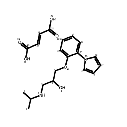 CC(C)NCC(O)COc1ccccc1-n1cccc1.O=C(O)C=CC(=O)O